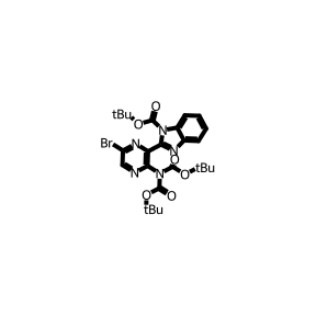 CC(C)(C)OC(=O)N(C(=O)OC(C)(C)C)c1ncc(Br)nc1-c1nc2ccccc2n1C(=O)OC(C)(C)C